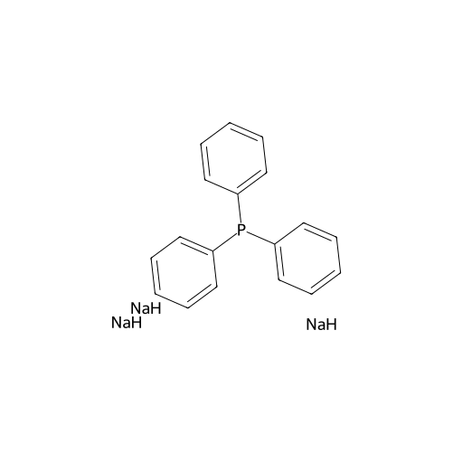 [NaH].[NaH].[NaH].c1ccc(P(c2ccccc2)c2ccccc2)cc1